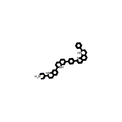 C/C=C(\C=C/N)C1C=Cc2ccc(C3=CC=C4C=CC(c5ccc(-c6ccc7ccc8c(c7n6)NC(c6ccccc6)C=C8)cc5)=CC4N3)cc2N1